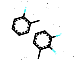 Cc1cccc(F)c1F.Cc1ccccc1F